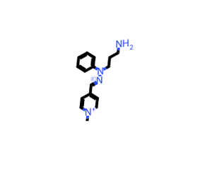 C[n+]1ccc(/C=N/N(CCCN)c2ccccc2)cc1